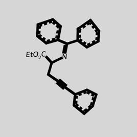 CCOC(=O)C(CC#Cc1ccccc1)N=C(c1ccccc1)c1ccccc1